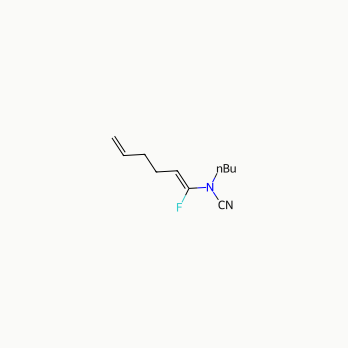 C=CCC/C=C(\F)N(C#N)CCCC